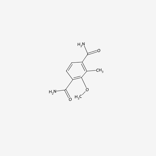 COc1c(C(N)=O)ccc(C(N)=O)c1C